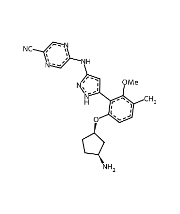 COc1c(C)ccc(O[C@@H]2CC[C@H](N)C2)c1-c1cc(Nc2cnc(C#N)cn2)n[nH]1